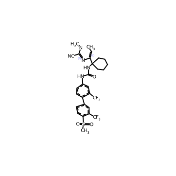 C=N/C(C#N)=N\C(=C/C)C1(NC(=O)Nc2ccc(-c3ccc(S(C)(=O)=O)c(C(F)(F)F)c3)c(C(F)(F)F)c2)CCCCC1